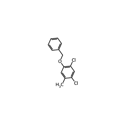 Cc1cc(OCc2ccccc2)c(Cl)cc1Cl